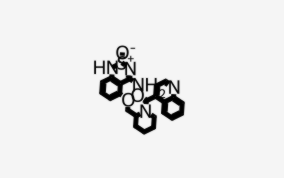 NC1=N[S+]([O-])Nc2cccc(OCC3CCCCN3C(=O)c3ccnc4ccccc34)c21